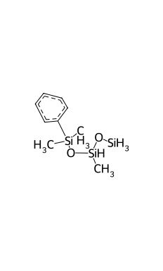 C[SiH](O[SiH3])O[Si](C)(C)c1ccccc1